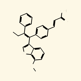 CC/C(=C(/c1ccc(/C=C/C(=O)O)cc1)c1coc2c(OC)cccc12)c1ccccc1